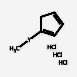 Cl.Cl.Cl.[CH3][Y][C]1=CC=CC1